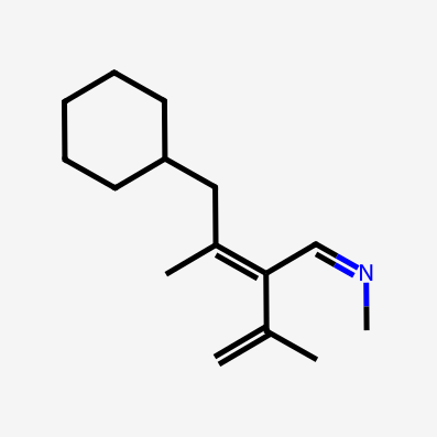 C=C(C)C(/C=N\C)=C(\C)CC1CCCCC1